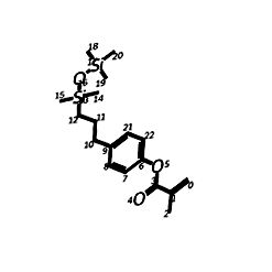 C=C(C)C(=O)Oc1ccc(CCC[Si](C)(C)O[Si](C)(C)C)cc1